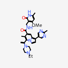 C=C(c1c(C)c(C(=O)NCc2c(OC)cc(C)[nH]c2=O)cc2c(-c3cnc(C)nc3)ccn12)N1CCN(CC)CC1